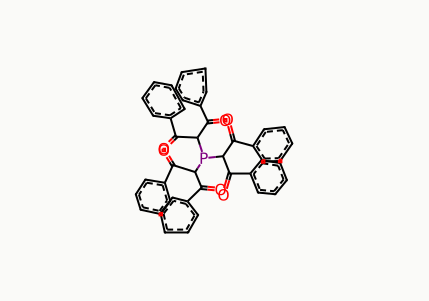 O=C(c1ccccc1)C(C(=O)c1ccccc1)P(C(C(=O)c1ccccc1)C(=O)c1ccccc1)C(C(=O)c1ccccc1)C(=O)c1ccccc1